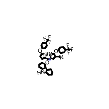 N#CC1=C/C(=C(\Oc2cccc3[nH]c4ccccc4c23)c2ccc(Oc3ccc(C(F)(F)F)cc3)[nH]2)N=C1Oc1ccc(C(F)(F)F)cc1